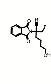 N#CC(CF)(CCCCO)N1C(=O)c2ccccc2C1=O